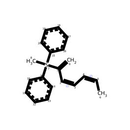 C=C(/C=C\C=C/C)S(C)(c1ccccc1)c1ccccc1